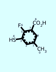 Cc1cc(S)c(F)c(C(=O)O)c1